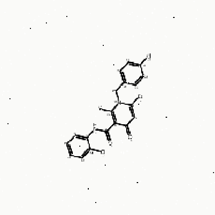 CCc1cc(=O)c(C(=O)Nc2ccccc2Cl)c(C)n1Cc1ccc(Cl)cc1